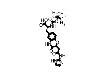 CC(C)(C)OC(=O)N[C@@H](Cc1ccc2c(c1)NC(=O)C(CC(=O)Nc1ncc[nH]1)O2)C(=O)O